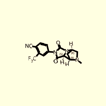 CN1C[C@H]2C[C@@H]1[C@H]1C(=O)N(c3ccc(C#N)c(C(F)(F)F)c3)C(=O)N21